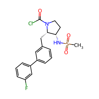 CS(=O)(=O)N[C@H]1CCN(C(=O)Cl)[C@H]1Cc1cccc(-c2cccc(F)c2)c1